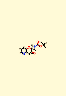 CC(C)(C)OC(=O)N1CC2(C1)Oc1cccnc1CC2=O